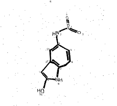 O=[SH](=O)Nc1ccc2[nH]c(O)cc2c1